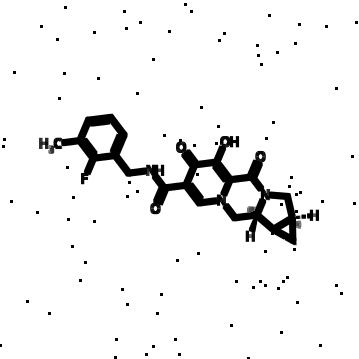 Cc1cccc(CNC(=O)c2cn3c(c(O)c2=O)C(=O)N2C[C@H]4CC4[C@@H]2C3)c1F